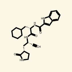 C#C[C@H](C[C@@H]1CCNC1=O)NC(=O)[C@H](CC1CCCCC1)NC(=O)c1cc2ccccc2[nH]1